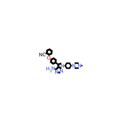 CN1CCN([C@H]2CC[C@H](n3cc(-c4ccc(Oc5ccccc5C#N)cc4)c4c(N)ncnc43)CC2)CC1